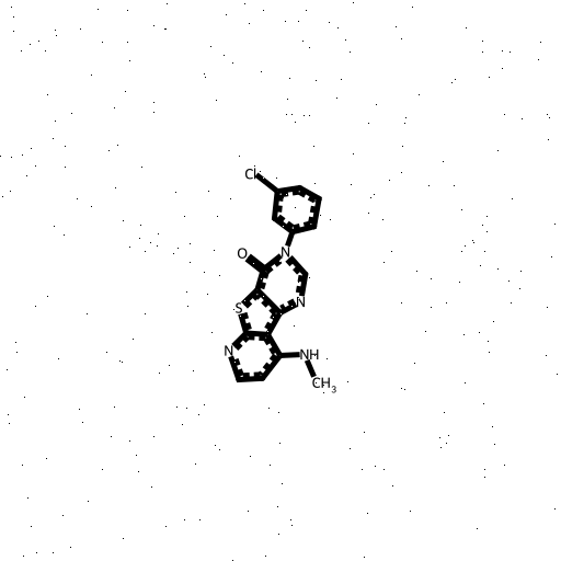 CNc1ccnc2sc3c(=O)n(-c4cccc(Cl)c4)cnc3c12